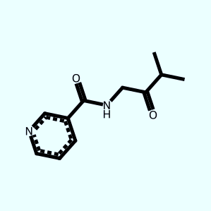 CC(C)C(=O)CNC(=O)c1cccnc1